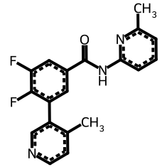 Cc1cccc(NC(=O)c2cc(F)c(F)c(-c3cnccc3C)c2)n1